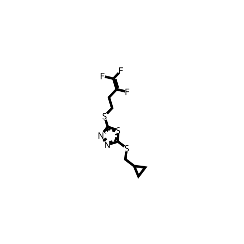 FC(F)=C(F)CCSc1nnc(SCC2CC2)s1